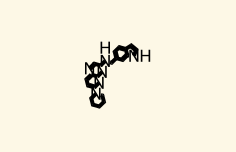 c1cc2ccc(CNc3cnc4ccc(N5CCCCC5)nc4n3)cc2[nH]1